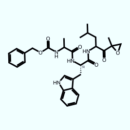 CC(C)CC(NC(=O)[C@H](Cc1c[nH]c2ccccc12)NC(=O)C(C)NC(=O)OCc1ccccc1)C(=O)C1(C)CO1